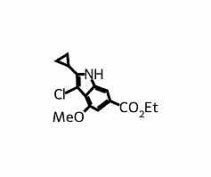 CCOC(=O)c1cc(OC)c2c(Cl)c(C3CC3)[nH]c2c1